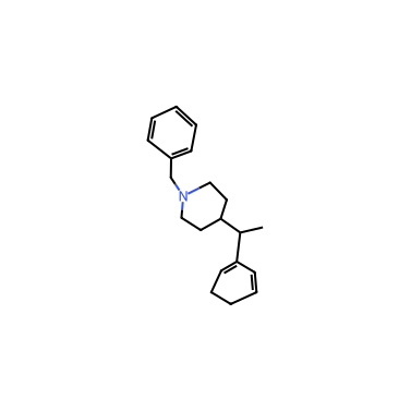 CC(C1=CCCC=C1)C1CCN(Cc2ccccc2)CC1